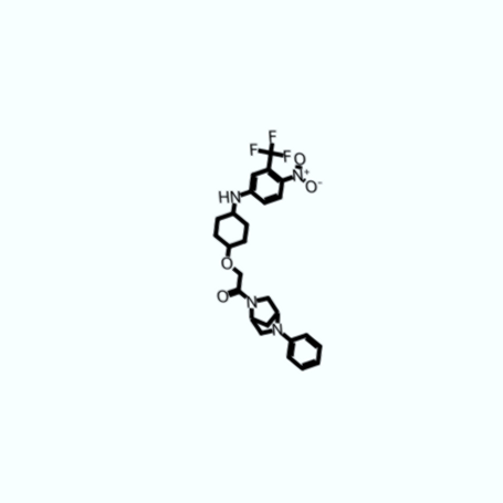 O=C(COC1CCC(Nc2ccc([N+](=O)[O-])c(C(F)(F)F)c2)CC1)N1CC2CC1CN2c1ccccc1